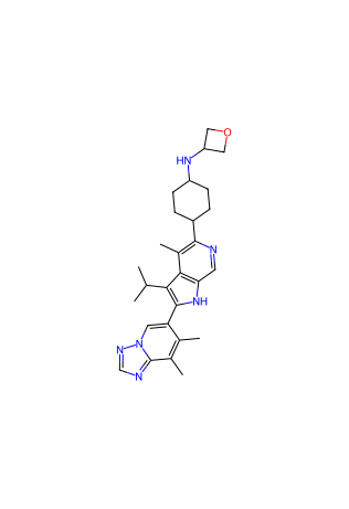 Cc1c(-c2[nH]c3cnc(C4CCC(NC5COC5)CC4)c(C)c3c2C(C)C)cn2ncnc2c1C